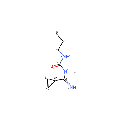 CCCNC(=O)N(C)C(=N)C1CC1